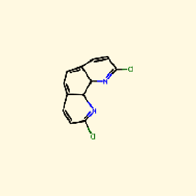 ClC1=NC2C(=CC=C3C=CC(Cl)=NC32)C=C1